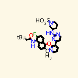 Cc1ccc2c(NC(=O)CC(C)(C)C)c(F)ccc2c1Oc1ncccc1-c1ccnc(NC2CCCN(C(=O)O)C2)n1